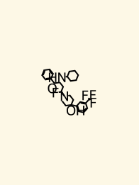 O=C(c1ccccc1)C(CC(F)N1CCC(O)(c2cccc(C(F)(F)F)c2)CC1)NC1CCCCC1